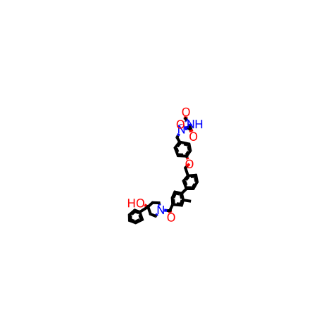 Cc1cc(C(=O)N2CCC(O)(c3ccccc3)CC2)ccc1-c1cccc(COc2ccc(Cn3oc(=O)[nH]c3=O)cc2)c1